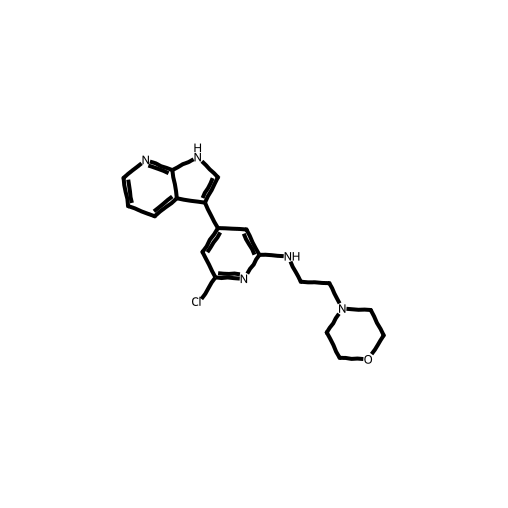 Clc1cc(-c2c[nH]c3ncccc23)cc(NCCN2CCOCC2)n1